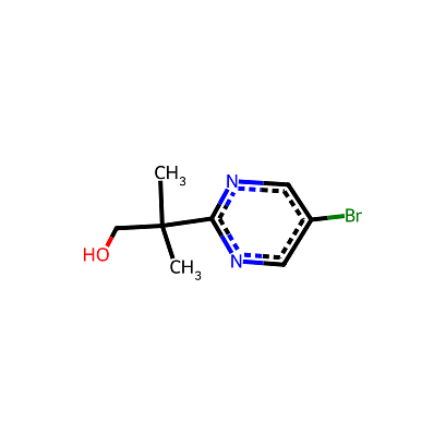 CC(C)(CO)c1ncc(Br)cn1